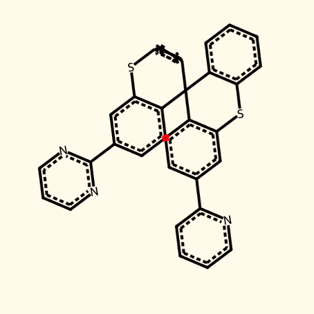 c1ccc(-c2ccc3c(c2)Sc2ccccc2C32c3ccccc3Sc3cc(-c4ncccn4)ccc32)nc1